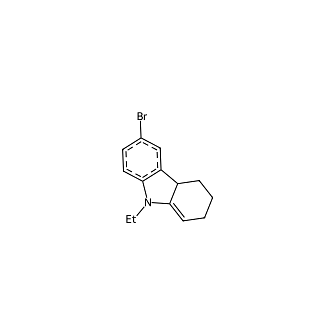 CCN1C2=CCCCC2c2cc(Br)ccc21